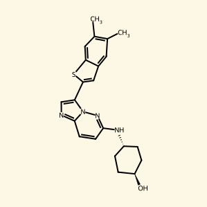 Cc1cc2cc(-c3cnc4ccc(N[C@H]5CC[C@H](O)CC5)nn34)sc2cc1C